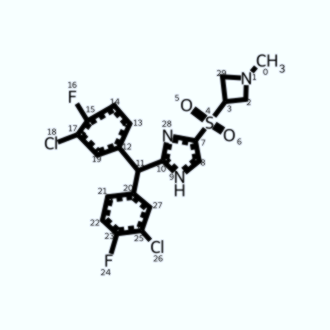 CN1CC(S(=O)(=O)c2c[nH]c(C(c3ccc(F)c(Cl)c3)c3ccc(F)c(Cl)c3)n2)C1